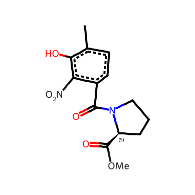 COC(=O)[C@@H]1CCCN1C(=O)c1ccc(C)c(O)c1[N+](=O)[O-]